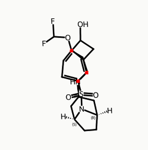 O=S(=O)(c1ccc(OC(F)F)cc1)N1[C@@H]2CC[C@H]1C[C@@H](NCC1CC(O)C1)C2